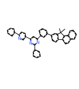 CC1(C)c2cc(-c3cccc(-c4cc(-c5ccc(-c6ccccc6)nc5)nc(-c5ccccc5)n4)c3)ccc2-c2ccc3ccccc3c21